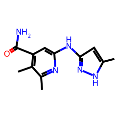 Cc1cc(Nc2cc(C(N)=O)c(C)c(C)n2)n[nH]1